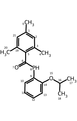 Cc1cc(C)c(C(=O)Pc2ccccc2OC(C)C)c(C)c1